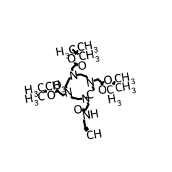 C#CCNC(=O)CN1CCN(CC(=O)OC(C)(C)C)CCN(CC(=O)OC(C)(C)C)CCN(CC(=O)OC(C)(C)C)CC1